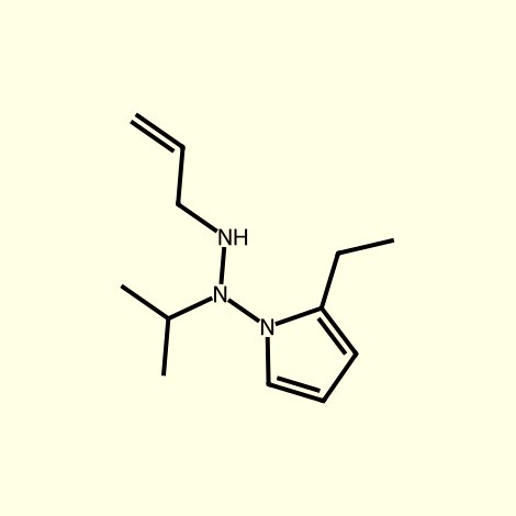 C=CCNN(C(C)C)n1cccc1CC